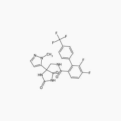 Cn1nccc1C1(CNC(=O)c2ccc(F)c(F)c2-c2ccc(C(F)(F)F)cc2)NC(=O)NC1=O